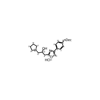 CCCCCCCCCCc1ccc(-c2noc(CC(O)CN3CCCC3)n2)cc1.Cl